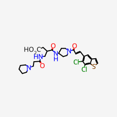 O=C(O)CC(CNC(=O)CCN1CCCCC1)C(=O)NC1CCN(C(=O)/C=C/c2cc3ccsc3c(Cl)c2Cl)CC1